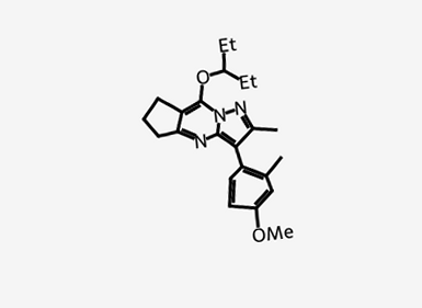 CCC(CC)Oc1c2c(nc3c(-c4ccc(OC)cc4C)c(C)nn13)CCC2